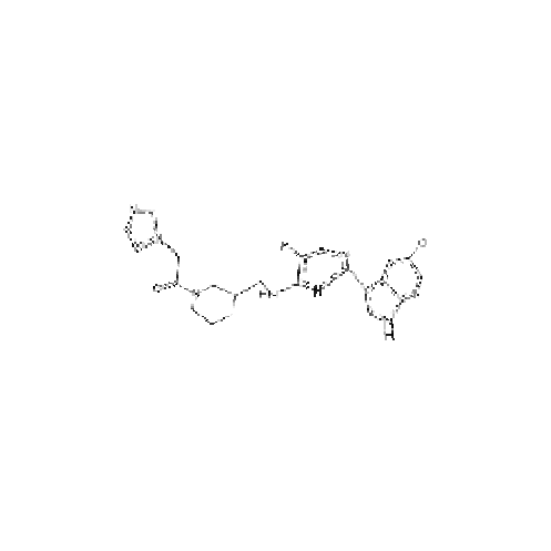 O=C(Cn1ccnc1)N1CCCC(CNc2nc(-c3c[nH]c4ncc(Cl)cc34)ncc2F)C1